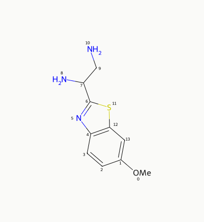 COc1ccc2nc(C(N)CN)sc2c1